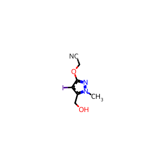 Cn1nc(OCC#N)c(I)c1CO